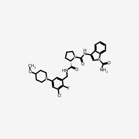 COC1CCN(c2cc(Cl)c(F)c(CNC(=O)[C@@H]3CCCN3C(=O)Nc3cn(C(N)=O)c4ccccc34)c2)CC1